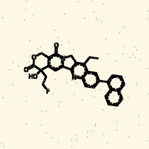 CCc1c2c(nc3ccc(-c4cccc5ccccc45)cc13)-c1cc3c(c(=O)n1C2)COC(=O)C3(O)CCF